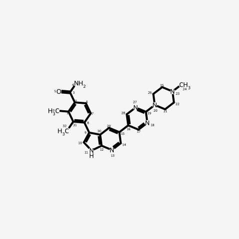 Cc1c(C(N)=O)ccc(-c2c[nH]c3ncc(-c4cnc(N5CCN(C)CC5)nc4)cc23)c1C